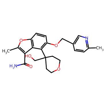 Cc1ccc(COc2ccc3oc(C)c(C(N)=O)c3c2C2(CO)CCOCC2)cn1